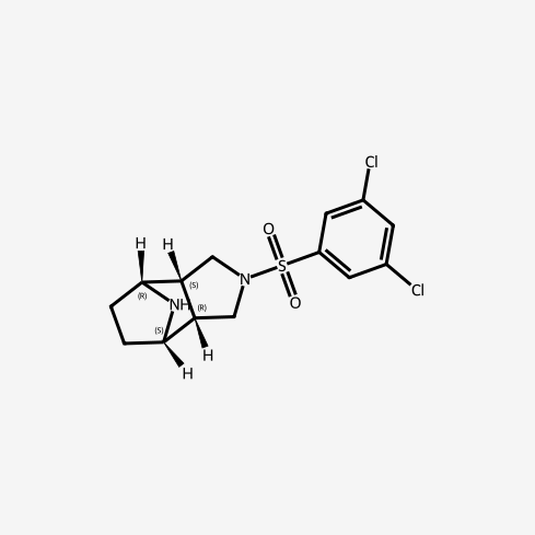 O=S(=O)(c1cc(Cl)cc(Cl)c1)N1C[C@@H]2[C@H](C1)[C@@H]1CC[C@H]2N1